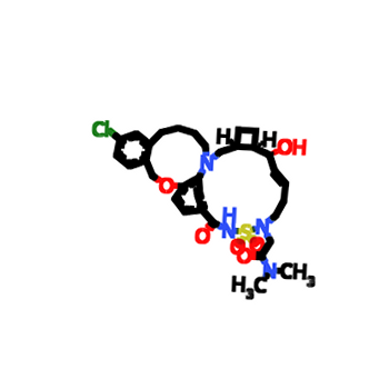 CN(C)C(=O)CN1CC/C=C/[C@H](O)[C@@H]2CC[C@H]2CN2CCCCc3cc(Cl)ccc3COc3ccc(cc32)C(=O)NS1(=O)=O